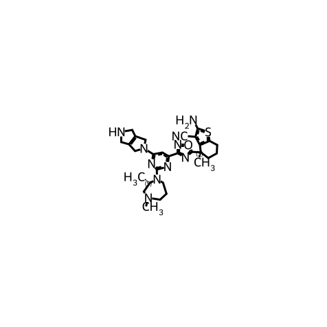 C[C@H]1CN(C)CCCN1c1nc(-c2noc([C@@]3(C)CCCc4sc(N)c(C#N)c43)n2)cc(N2CC3=C(CNC3)C2)n1